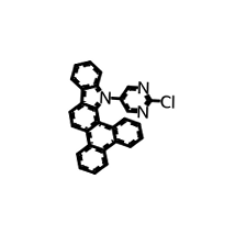 Clc1ncc(-n2c3ccccc3c3ccc4c5ccccc5c5ccccc5c4c32)cn1